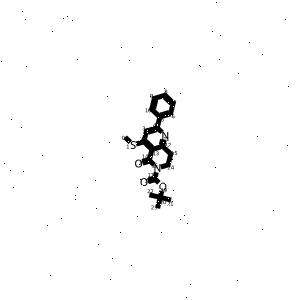 CSc1cc(-c2ccccc2)nc2c1C(=O)N(C(=O)OC(C)(C)C)CC2